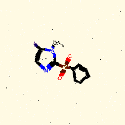 Cn1c(I)cnc1S(=O)(=O)c1ccccc1